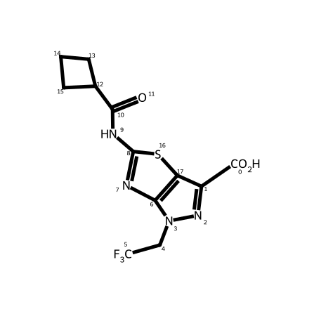 O=C(O)c1nn(CC(F)(F)F)c2nc(NC(=O)C3CCC3)sc12